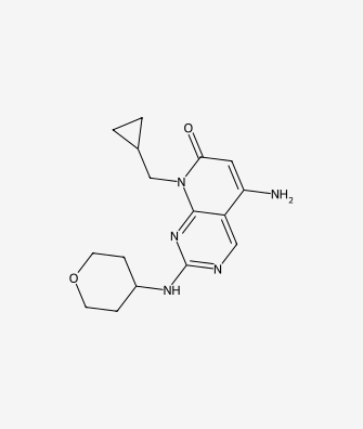 Nc1cc(=O)n(CC2CC2)c2nc(NC3CCOCC3)ncc12